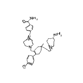 CC1(CN2CCC(N)CC2)CCC(c2ccc(Cl)cc2)=C(CN2CCN(c3ccc(C(N)=O)cc3)CC2)C1